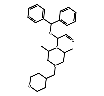 CC1CN(CC2CCOCC2)CC(C)N1C(C=O)OC(c1ccccc1)c1ccccc1